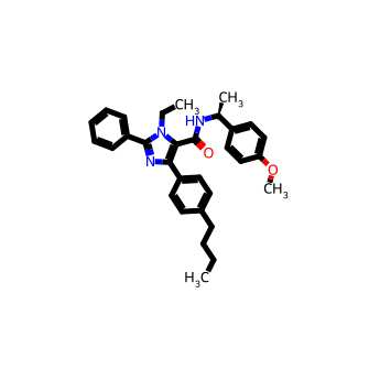 CCCCc1ccc(-c2nc(-c3ccccc3)n(CC)c2C(=O)N[C@@H](C)c2ccc(OC)cc2)cc1